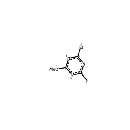 CCc1nc(C)nc(OC)n1